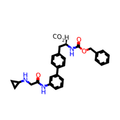 O=C(CNC1CC1)Nc1cccc(-c2ccc(C[C@H](NC(=O)OCc3ccccc3)C(=O)O)cc2)c1